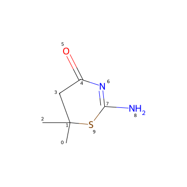 CC1(C)CC(=O)N=C(N)S1